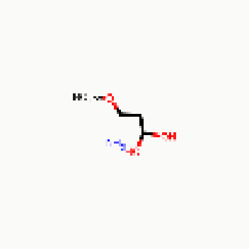 N.O=S(=O)(O)OCCC(O)O